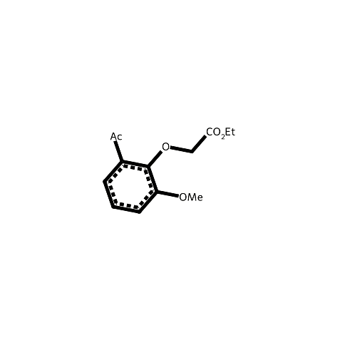 CCOC(=O)COc1c(OC)cccc1C(C)=O